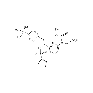 CCCCC(C)(C)c1ccc(CC(NS(=O)(=O)c2cccs2)c2cccc(N(CC(=O)O)C(=O)OC(C)(C)C)n2)cc1